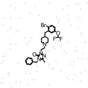 Cc1nn(CCN2CCC(Cc3cc(OC(F)F)ccc3Br)CC2)c(=O)n1Cc1ccccc1